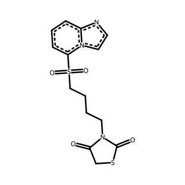 O=C1CSC(=O)N1CCCCS(=O)(=O)c1cccc2nccn12